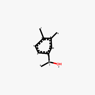 CB(O)c1ccc(C)c(C)c1